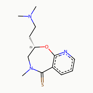 CN(C)CC[C@H]1CN(C)C(=S)c2cccnc2O1